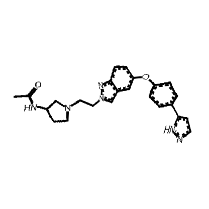 CC(=O)NC1CCN(CCn2cc3cc(Oc4ccc(-c5ccn[nH]5)cc4)ccc3n2)C1